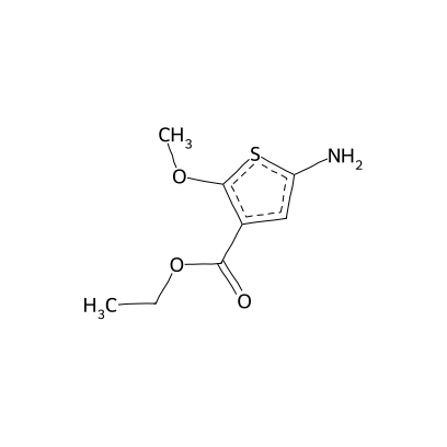 CCOC(=O)c1cc(N)sc1OC